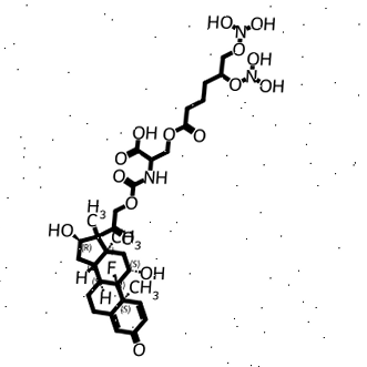 CC1(C(=O)COC(=O)NC(COC(=O)CCCC(CON(O)O)ON(O)O)C(=O)O)[C@H](O)C[C@H]2[C@@H]3CCC4=CC(=O)C=C[C@]4(C)[C@@]3(F)[C@@H](O)C[C@@]21C